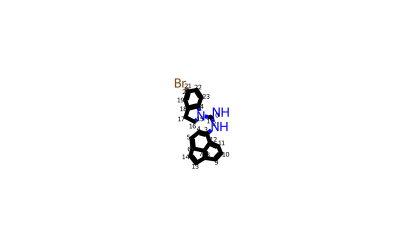 N=C(Nc1ccc2c3c(cccc13)C=C2)N1CCc2cc(Br)ccc21